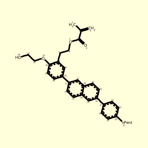 C=C(C)C(=O)OCCc1cc(-c2ccc3cc(-c4ccc(CCCCC)cc4)ccc3c2)ccc1OCCO